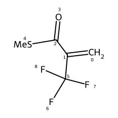 C=C(C(=O)SC)C(F)(F)F